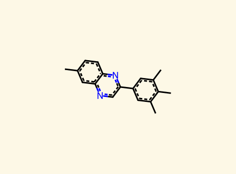 Cc1ccc2nc(-c3cc(C)c(C)c(C)c3)cnc2c1